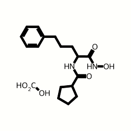 O=C(NC(CCCc1ccccc1)C(=O)NO)C1CCCC1.O=C(O)O